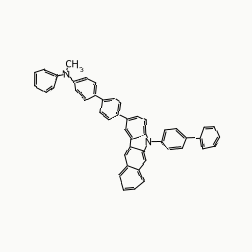 CN(c1ccccc1)c1ccc(-c2ccc(-c3ccc4c(c3)c3cc5ccccc5cc3n4-c3ccc(-c4ccccc4)cc3)cc2)cc1